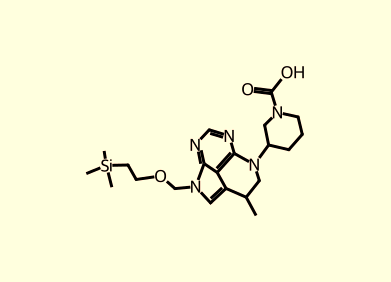 CC1CN(C2CCCN(C(=O)O)C2)c2ncnc3c2c1cn3COCC[Si](C)(C)C